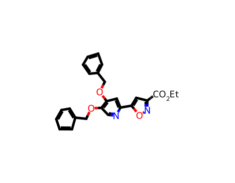 CCOC(=O)c1cc(-c2cc(OCc3ccccc3)c(OCc3ccccc3)cn2)on1